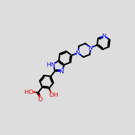 O=C(O)c1ccc(-c2nc3cc(N4CCN(c5cccnc5)CC4)ccc3[nH]2)cc1O